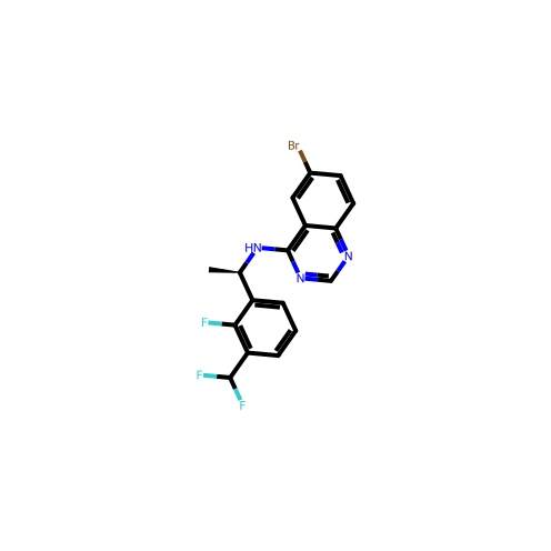 C[C@@H](Nc1ncnc2ccc(Br)cc12)c1cccc(C(F)F)c1F